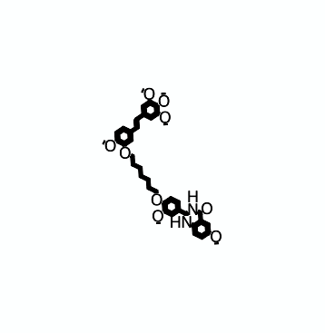 COc1ccc2c(c1)C(=O)NC(c1ccc(OCCCCCCCOc3cc(/C=C/c4cc(OC)c(OC)c(OC)c4)ccc3OC)c(OC)c1)N2